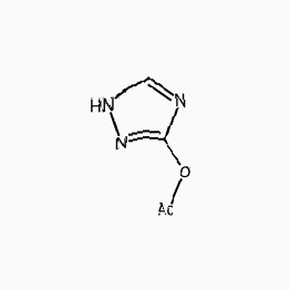 CC(=O)Oc1nc[nH]n1